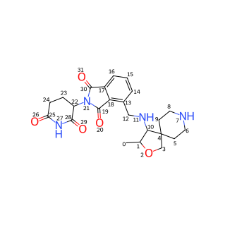 CC1OCC2(CCNCC2)C1NCc1cccc2c1C(=O)N(C1CCC(=O)NC1=O)C2=O